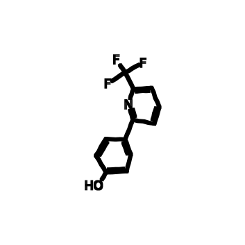 Oc1ccc(-c2cccc(C(F)(F)F)n2)cc1